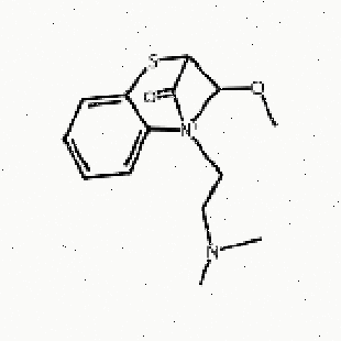 COC1C2Sc3ccccc3[N+]1(CCN(C)C)C2=O